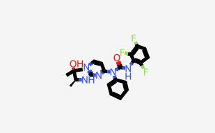 C[C@H](Nc1nccc(N(C(=O)Nc2c(F)ccc(F)c2F)c2ccccc2)n1)C(C)(C)O